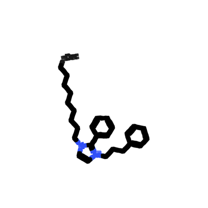 CCCCCCCCCCCCCCCCCCCn1cc[n+](CCCc2ccccc2)c1-c1ccccc1